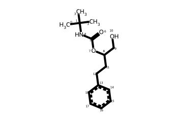 CC(C)(C)NC(=O)OC(CO)CCc1ccccc1